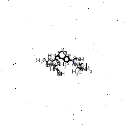 CC(C)NC(NC(N)NN=N)c1cc2c(s1)-c1ccc(/C(C=N)=C/NCC(C)(C)N)cc1OCC2